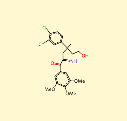 COc1cc(C(=O)C(=N)CC(C)(CCO)c2ccc(Cl)c(Cl)c2)cc(OC)c1OC